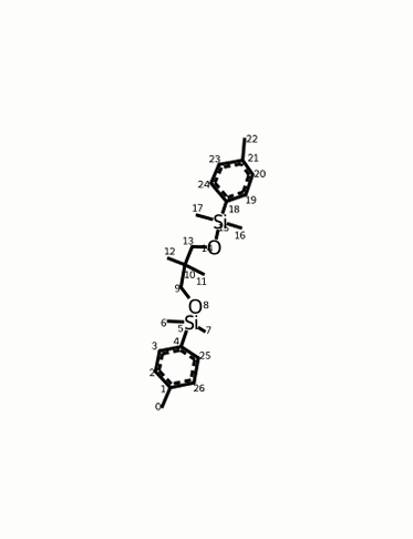 Cc1ccc([Si](C)(C)OCC(C)(C)CO[Si](C)(C)c2ccc(C)cc2)cc1